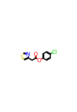 O=C(Cc1cscn1)Oc1ccc(Cl)cc1